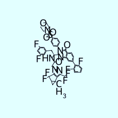 C[C@@]12CC1C(F)(F)c1c2c(C(F)F)nn1CC(=O)N[C@@H](Cc1cc(F)cc(F)c1)c1nc2cc(-c3c(F)cccc3F)ccc2c(=O)n1-c1ccc(S(=O)(=O)N2CCOCC2)cc1